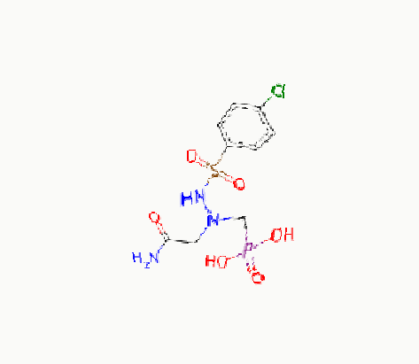 NC(=O)CN(CP(=O)(O)O)NS(=O)(=O)c1ccc(Cl)cc1